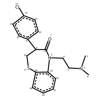 CN(C)CCN1C(=O)C(c2ccc(Cl)cc2)CSc2ccccc21